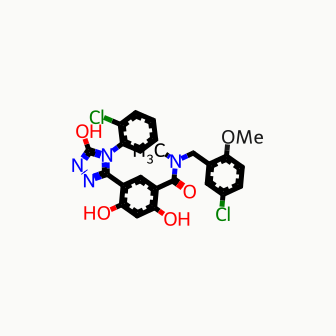 COc1ccc(Cl)cc1CN(C)C(=O)c1cc(-c2nnc(O)n2-c2ccccc2Cl)c(O)cc1O